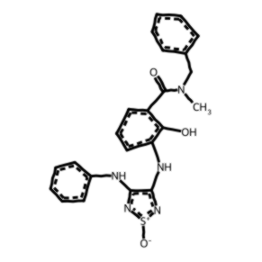 CN(Cc1ccccc1)C(=O)c1cccc(Nc2n[s+]([O-])nc2Nc2ccccc2)c1O